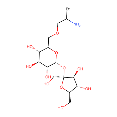 CCC(N)COC[C@H]1O[C@H](O[C@]2(CO)O[C@H](CO)[C@@H](O)[C@@H]2O)[C@H](O)[C@@H](O)[C@@H]1O